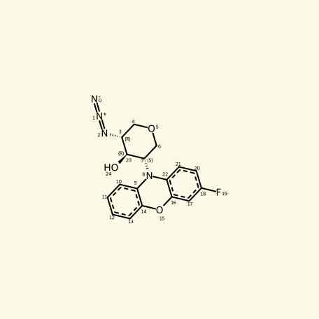 [N-]=[N+]=N[C@@H]1COC[C@H](N2c3ccccc3Oc3cc(F)ccc32)[C@H]1O